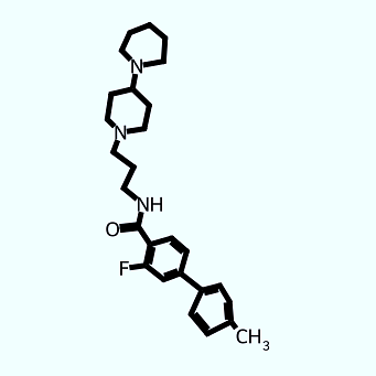 Cc1ccc(-c2ccc(C(=O)NCCCN3CCC(N4CCCCC4)CC3)c(F)c2)cc1